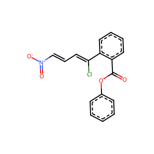 O=C(Oc1ccccc1)c1ccccc1C(Cl)=CC=C[N+](=O)[O-]